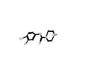 O=C(Oc1ccc([N+](=O)[O-])c(Cl)c1)N1CCNCC1